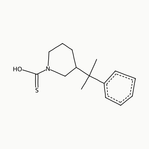 CC(C)(c1ccccc1)C1CCCN(C(O)=S)C1